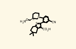 CC1(C)CCc2sc(-c3cc(C#N)ccc3N3CCC[C@H](CON)C3)c(C(=O)O)c2C1